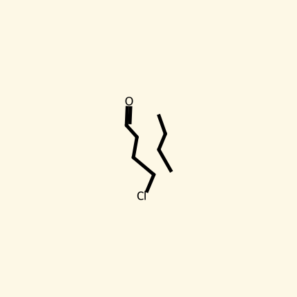 CCCC.O=CCCCCl